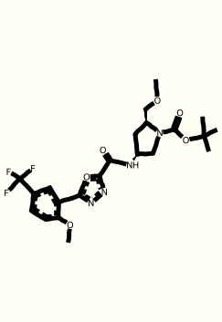 COC[C@@H]1C[C@@H](NC(=O)c2nnc(-c3cc(C(F)(F)F)ccc3OC)o2)CN1C(=O)OC(C)(C)C